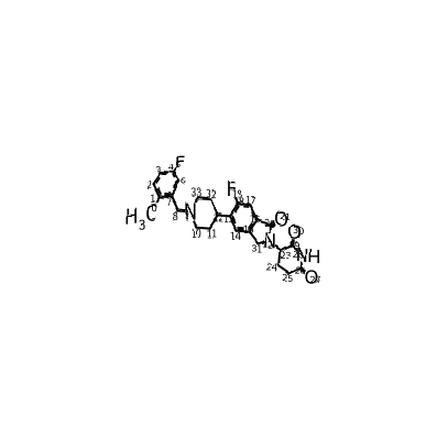 Cc1ccc(F)cc1CN1CCC(c2cc3c(cc2F)C(=O)N(C2CCC(=O)NC2=O)C3)CC1